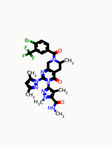 CNC(=O)c1c(C)c(-n2c(-n3nc(C)cc3C)nc3c(c2=O)CC(C)N(C(=O)c2ccc(Br)c(C(F)(F)F)c2)C3)nn1C